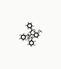 COc1cccc2c1OC(c1ccccc1)=CC2P(=O)(Oc1ccccc1)Oc1ccccc1